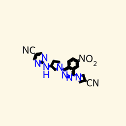 N#Cc1cnc(NC2CCN(c3nnc(N4CC(C#N)C4)c4cc([N+](=O)[O-])ccc34)C2)nc1